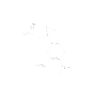 O=Cc1cc(C2(C[SH](=O)=O)CC2)ccc1[N+](=O)[O-]